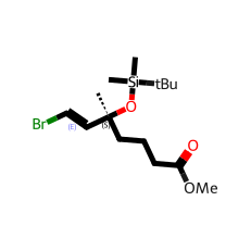 COC(=O)CCC[C@@](C)(/C=C/Br)O[Si](C)(C)C(C)(C)C